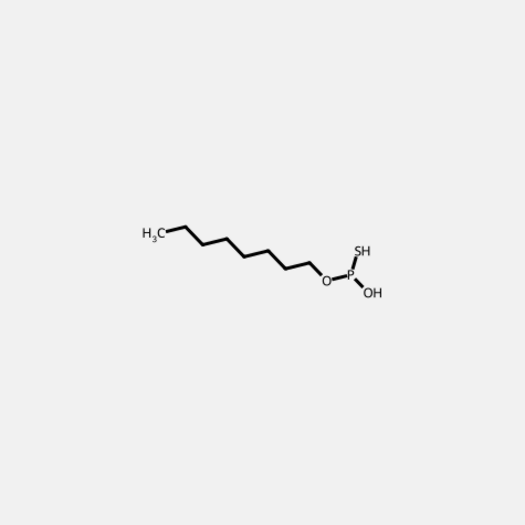 CCCCCCCCOP(O)S